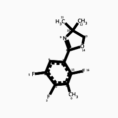 Cc1c(F)c(F)cc(C2=NC(C)(C)CO2)c1F